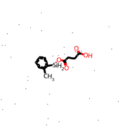 Cc1ccccc1[SiH2]OC(=O)CCC(=O)O